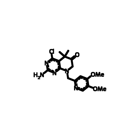 COc1cnc(CN2CC(=O)C(C)(C)c3c(Cl)nc(N)nc32)cc1OC